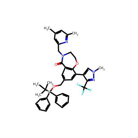 Cc1cc(C)nc(CN2CCOc3c(cc(CO[Si](c4ccccc4)(c4ccccc4)C(C)(C)C)cc3-c3cn(C)nc3C(F)(F)F)C2=O)c1